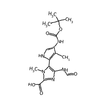 Cc1c(NC(=O)OC(C)(C)C)c[nH]c1-c1c(NC=O)nc(C(=O)O)n1C